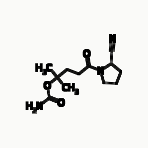 CC(C)(CCC(=O)N1CCCC1C#N)OC(N)=O